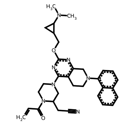 C=CC(=O)N1CCN(c2nc(OCC3CC3N(C)C)nc3c2CCN(c2cccc4ccccc24)C3)CC1CC#N